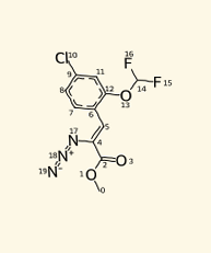 COC(=O)C(=Cc1ccc(Cl)cc1OC(F)F)N=[N+]=[N-]